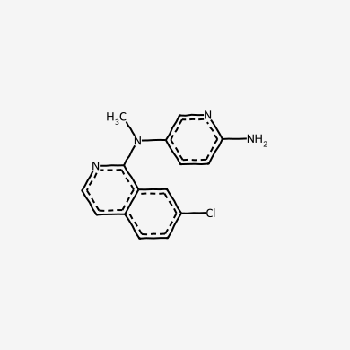 CN(c1ccc(N)nc1)c1nccc2ccc(Cl)cc12